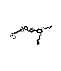 C#CCCCOc1cc(OCCCC#C)cc(-c2cn(Cc3cccc(S(=O)(=O)C/C(F)=C/CNC(=O)O)c3)nn2)c1